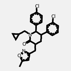 Cc1cc(CC2CC(c3cccc(Cl)c3)C(c3ccc(Cl)cc3)N(CC3CC3)C2=O)no1